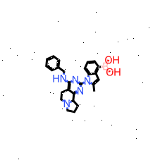 Cc1cc2c(B(O)O)cccc2n1-c1nc(NCc2ccccc2)c2c(n1)C1CCCN1CC2